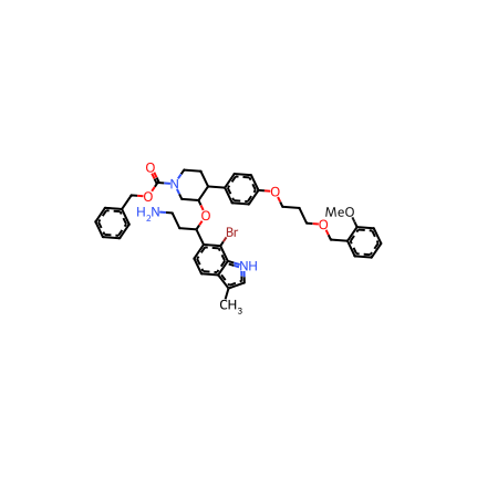 COc1ccccc1COCCCOc1ccc(C2CCN(C(=O)OCc3ccccc3)CC2OC(CCN)c2ccc3c(C)c[nH]c3c2Br)cc1